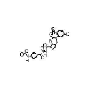 COC(=O)Nc1ccc(C(=O)NNC(=O)C2CCc3cc(-c4cc(Cl)ccc4[N+](=O)[O-])cnc32)cc1